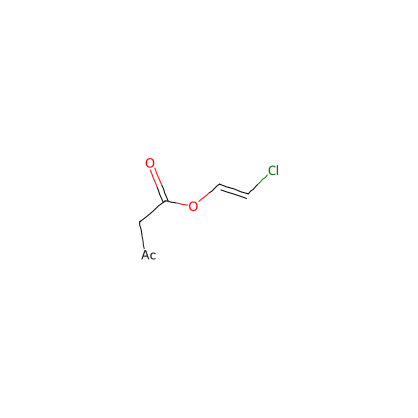 CC(=O)CC(=O)OC=CCl